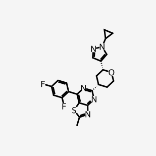 Cc1nc2nc([C@H]3CCO[C@@H](c4cnn(C5CC5)c4)C3)nc(-c3ccc(F)cc3F)c2s1